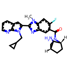 Cn1c(-c2cc3cccnc3n2CC2CC2)nc2cc(C(=O)N3C[C@H]4CC[C@@H]3C4N)c(F)cc21